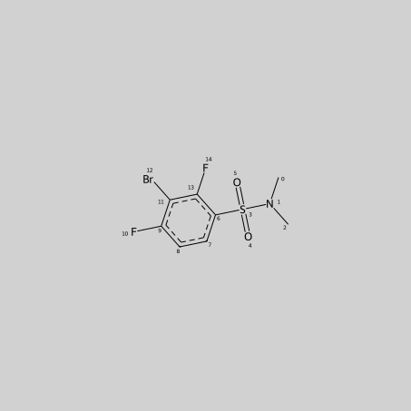 CN(C)S(=O)(=O)c1ccc(F)c(Br)c1F